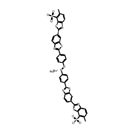 Cc1ccc2nc(-c3ccc4nc(-c5ccc(N=Nc6ccc(-c7nc8ccc(-c9nc%10ccc(C)c(S(=O)(=O)[O-])c%10s9)cc8s7)cc6)cc5)sc4c3)sc2c1S(=O)(=O)[O-].[Na+].[Na+]